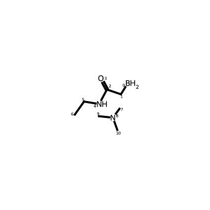 BCC(=O)NCC.CN(C)C